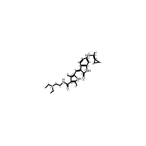 CCN(CC)CCNC(=O)c1c(C)[nH]c(/C=C2\C(=O)Nc3cc(NC(C)=C4CC4)ccc32)c1C